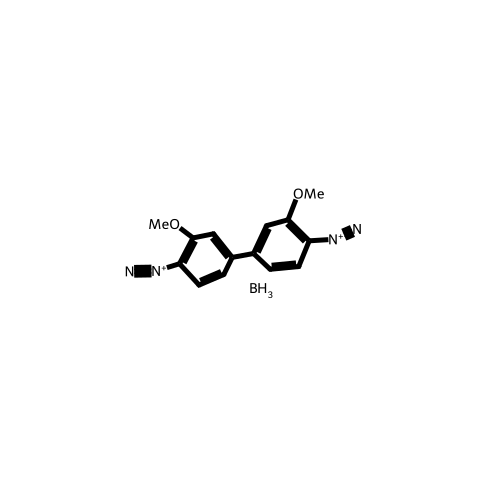 B.COc1cc(-c2ccc([N+]#N)c(OC)c2)ccc1[N+]#N